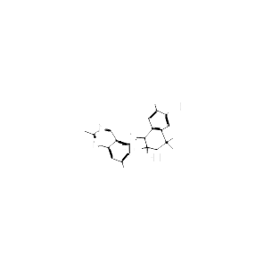 Cc1ncc2c(NC3c4cc(Cl)c(O)cc4C(C)(C)CC3(O)C(F)(F)F)cc(F)cc2n1